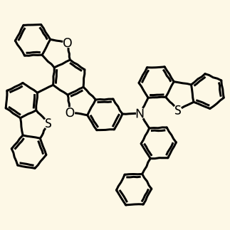 c1ccc(-c2cccc(N(c3ccc4oc5c(-c6cccc7c6sc6ccccc67)c6c(cc5c4c3)oc3ccccc36)c3cccc4c3sc3ccccc34)c2)cc1